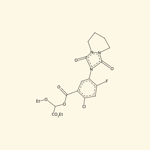 CCOC(=O)C(OCC)OC(=O)c1cc(-n2c(=O)n3n(c2=O)CCCC3)c(F)cc1Cl